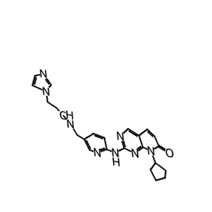 O=c1ccc2cnc(Nc3ccc(CNCCCn4ccnc4)cn3)nc2n1C1CCCC1